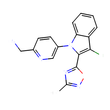 Cc1noc(-c2c(Cl)c3ccccc3n2-c2ccc(CN)nc2)n1